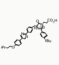 CC(C)CCOc1ccc(-c2cnc(-c3ccc(C[C@H](NC(=O)c4ccc(C(C)(C)C)cc4)C(=O)NCCC(=O)O)cc3)nc2)cc1